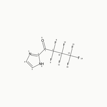 O=C(c1ncc[nH]1)C(F)(F)C(F)(F)C(F)(F)F